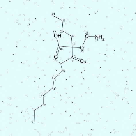 CCCCCCCCC(=O)C(CCCC)(OON)C(=O)O